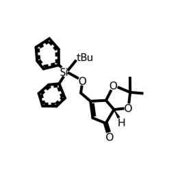 CC1(C)OC2C(CO[Si](c3ccccc3)(c3ccccc3)C(C)(C)C)=CC(=O)[C@H]2O1